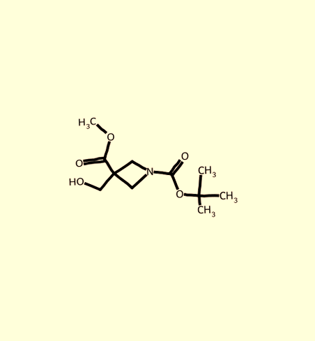 COC(=O)C1(CO)CN(C(=O)OC(C)(C)C)C1